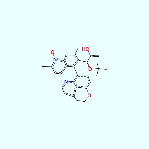 C=C(O)[C@@H](OC(C)(C)C)c1c(C)cc2c(ccc(C)[n+]2[O-])c1-c1ccc2c3c(ccnc13)CCO2